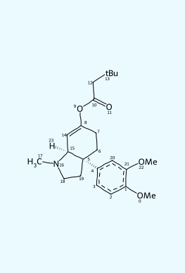 COc1ccc([C@@]23CCC(OC(=O)CC(C)(C)C)=C[C@@H]2N(C)CC3)cc1OC